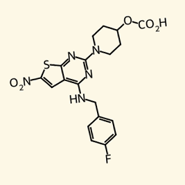 O=C(O)OC1CCN(c2nc(NCc3ccc(F)cc3)c3cc([N+](=O)[O-])sc3n2)CC1